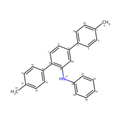 Cc1ccc(-c2ccc(-c3ccc(C)cc3)c(Nc3ccccc3)c2)cc1